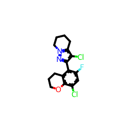 Fc1cc(Cl)c2c(c1-c1nn3c(c1Cl)CCCC3)CCCO2